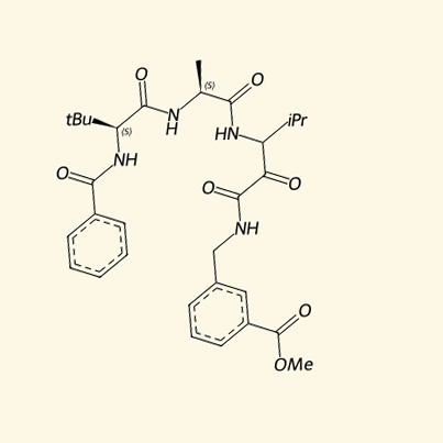 COC(=O)c1cccc(CNC(=O)C(=O)C(NC(=O)[C@H](C)NC(=O)[C@@H](NC(=O)c2ccccc2)C(C)(C)C)C(C)C)c1